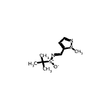 Cn1nccc1/C=N/[S+]([O-])C(C)(C)C